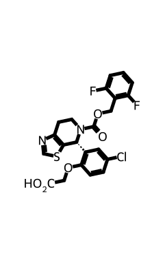 O=C(O)COc1ccc(Cl)cc1[C@@H]1c2scnc2CCN1C(=O)OCc1c(F)cccc1F